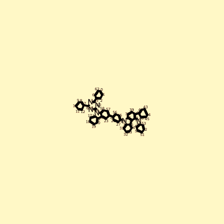 c1ccc(-c2nc(-c3ccccc3)nc(-n3c4ccccc4c4cc(-c5ccc(-n6c7ccccc7c7c6ccc6c8ccccc8n(-c8ccccc8)c67)cc5)ccc43)n2)cc1